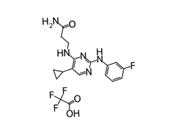 NC(=O)CCNc1nc(Nc2cccc(F)c2)ncc1C1CC1.O=C(O)C(F)(F)F